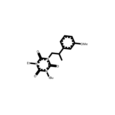 CCn1c(=O)n(CC(C)c2cccc(OC)c2)c(=O)n(C(C)(C)C)c1=O